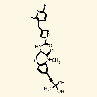 CN1C(=O)[C@@H](NC(=O)n2cc(Cc3ccc(F)nc3F)cn2)COc2ccc(C#CC(C)(C)O)cc21